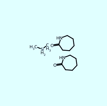 C[SiH2]C.O=C1CCCCCN1.O=C1CCCCCN1